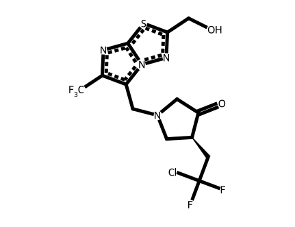 O=C1CN(Cc2c(C(F)(F)F)nc3sc(CO)nn23)C[C@@H]1CC(F)(F)Cl